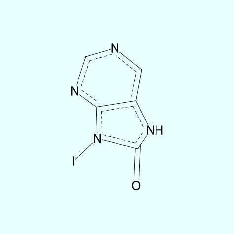 O=c1[nH]c2cncnc2n1I